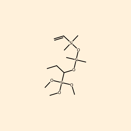 C=C[Si](C)(C)O[Si](C)(C)OC(CC)[Si](OC)(OC)OC